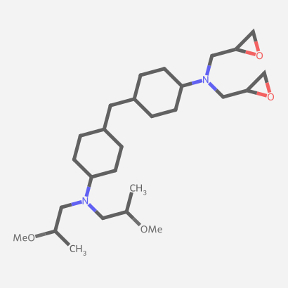 COC(C)CN(CC(C)OC)C1CCC(CC2CCC(N(CC3CO3)CC3CO3)CC2)CC1